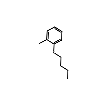 [CH2]c1ccccc1SCCCC